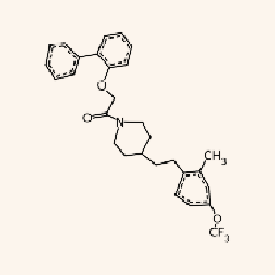 Cc1cc(OC(F)(F)F)ccc1CCC1CCN(C(=O)COc2ccccc2-c2ccccc2)CC1